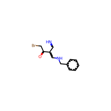 N=C/C(=C\NCc1ccccc1)C(=O)CBr